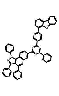 c1ccc(-c2nc(-c3ccc(-c4cccc5c4oc4ccccc45)cc3)nc(-c3ccc4c(c3)cc(-c3ccccc3)c3c(-c5ccccc5)nn(-c5ccccc5)c34)n2)cc1